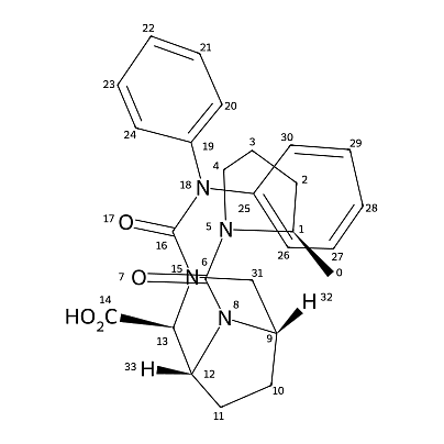 C[C@@H]1CCCN1C(=O)N1[C@H]2CC[C@@H]1[C@@H](C(=O)O)N(C(=O)N(c1ccccc1)c1ccccc1)C2